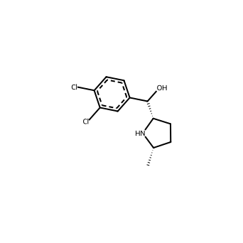 C[C@H]1CC[C@@H](C(O)c2ccc(Cl)c(Cl)c2)N1